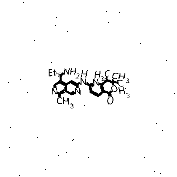 CC[C@H](N)c1cnc(C)c2cnc(Nc3ccc4c(n3)[C@@H](C)C(C)(C)OC4=O)cc12